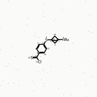 CCCCC12CC(Sc3ccc(C(=S)Cl)cc3)(C1)C2